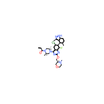 C=CC(=O)N1C[C@H](C)N(c2nc(OC[C@@H]3COCCN3C)nc3c(F)c(-c4c(C)ccc5[nH]nc(C)c45)c(Cl)cc23)C[C@H]1C